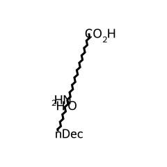 [2H]C(CCCCCCCCCCCCCCCC)C(=O)NCCCCCCCCCCCCCCCCCC(=O)O